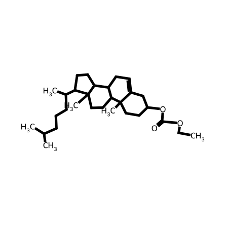 CCOC(=O)OC1CCC2(C)C(=CCC3C2CCC2(C)C(C(C)CCCC(C)C)CCC32)C1